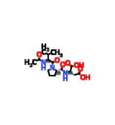 CC(=O)N[C@H](C(=O)N1CCC[C@H]1C(=O)N[C@@H](CC(=O)O)C(=O)O)C(C)C